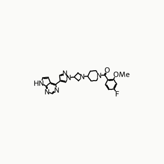 COc1cc(F)ccc1C(=O)N1CCC(N2CC(n3cc(-c4ncnc5[nH]ccc45)cn3)C2)CC1